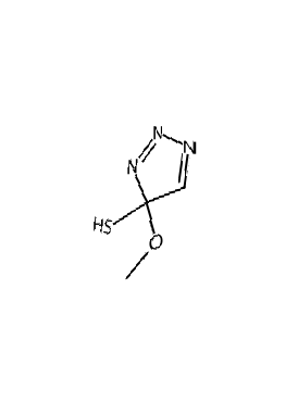 COC1(S)C=NN=N1